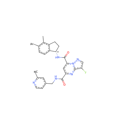 [C-]#[N+]c1cc(CNC(=O)c2cc(C(=O)N[C@H]3CCc4c3ccc(C(C)=O)c4C)n3ncc(F)c3n2)ccn1